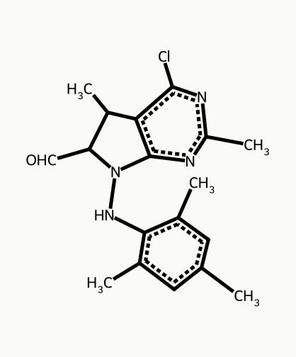 Cc1cc(C)c(NN2c3nc(C)nc(Cl)c3C(C)C2C=O)c(C)c1